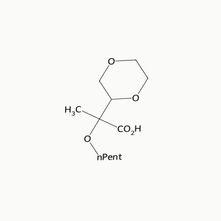 CCCCCOC(C)(C(=O)O)C1COCCO1